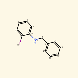 Ic1c[c]ccc1NCc1ccccc1